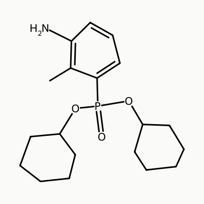 Cc1c(N)cccc1P(=O)(OC1CCCCC1)OC1CCCCC1